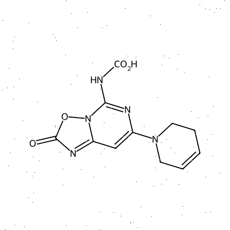 O=C(O)Nc1nc(N2CC=CCC2)cc2nc(=O)on12